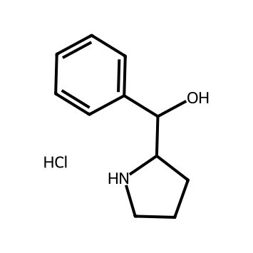 Cl.OC(c1ccccc1)C1CCCN1